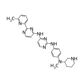 Cc1cccc(-c2nccc(Nc3ccnc(Nc4ccc(N(C)C5CCCNC5)cc4)n3)n2)n1